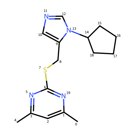 Cc1cc(C)nc(SCc2cncn2C2CCCC2)n1